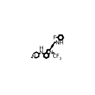 CN1CCC(Nc2cccc3c2cc(C#CCNc2ccccc2F)n3CC(F)(F)F)CC1